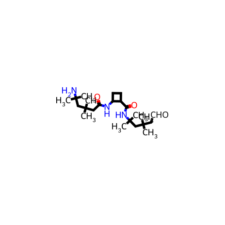 CC(C)(N)CC(C)(C)CC(=O)NC1CCC1C(=O)NC(C)(C)CC(C)(C)CC=O